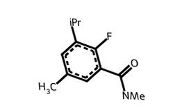 CNC(=O)c1cc(C)cc(C(C)C)c1F